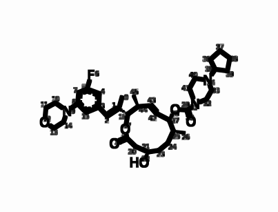 C/C(=C\c1cc(F)cc(N2CCOCC2)c1)[C@H]1OC(=O)C[C@H](O)CC[C@H](C)[C@H](OC(=O)N2CCN(C3CCCC3)CC2)/C=C/[C@@H]1C